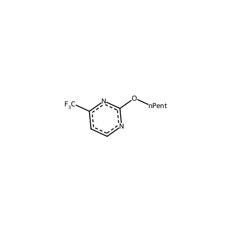 CCCCCOc1nccc(C(F)(F)F)n1